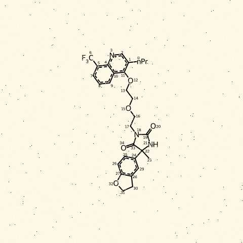 CCCc1cnc2c(C(F)(F)F)cccc2c1OCCOCCN1C(=O)NC(C)(c2ccc3c(c2)CCO3)C1=O